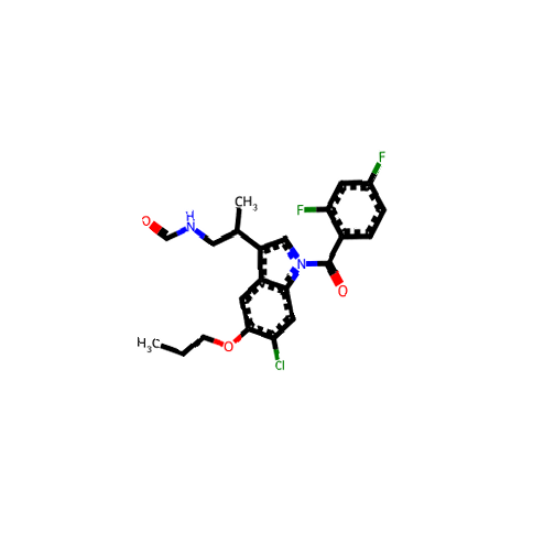 CCCOc1cc2c(C(C)CNC=O)cn(C(=O)c3ccc(F)cc3F)c2cc1Cl